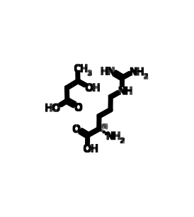 CC(O)CC(=O)O.N=C(N)NCCC[C@H](N)C(=O)O